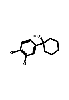 O=C(O)C1(c2ccc(Cl)c(Cl)c2)CCCCC1